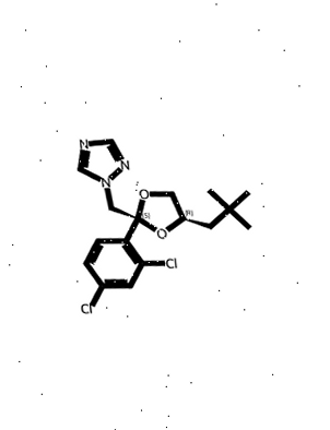 CC(C)(C)C[C@@H]1CO[C@@](Cn2cncn2)(c2ccc(Cl)cc2Cl)O1